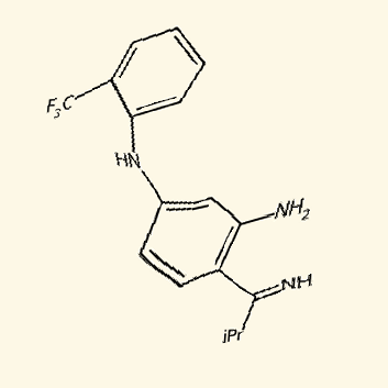 CC(C)C(=N)c1ccc(Nc2ccccc2C(F)(F)F)cc1N